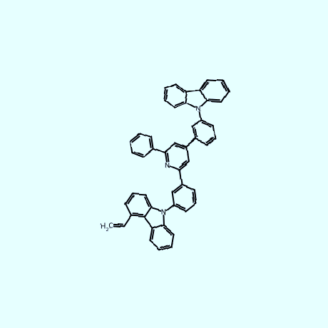 C=Cc1cccc2c1c1ccccc1n2-c1cccc(-c2cc(-c3cccc(-n4c5ccccc5c5ccccc54)c3)cc(-c3ccccc3)n2)c1